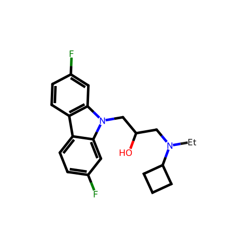 CCN(CC(O)Cn1c2cc(F)ccc2c2ccc(F)cc21)C1CCC1